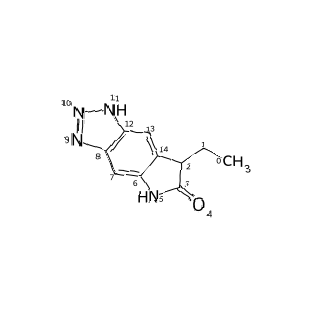 CCC1C(=O)Nc2cc3nn[nH]c3cc21